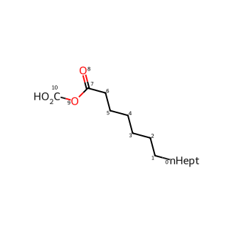 CCCCCCCCCCCCCC(=O)OC(=O)O